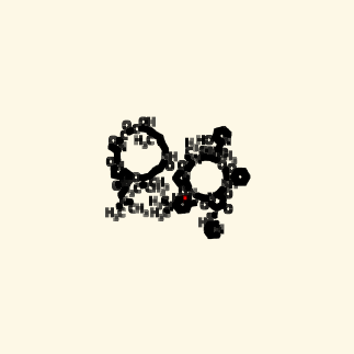 CCN(CC)CCS(=O)(=O)[C@@H]1CCN2C(=O)c3coc(n3)CC(=O)C[C@H](O)/C=C(C)/C=C/CNC(=O)/C=C/[C@@H](C)[C@@H](C(C)C)OC(=O)[C@@H]12.CC[C@H]1NC(=O)[C@@H](NC(=O)c2ncccc2O)[C@@H](C)OC(=O)[C@H](c2ccccc2)NC(=O)C2CC(=O)[C@H](CS[C@@H]3CN4CCC3CC4)CN2C(=O)[C@H](Cc2ccc(N(C)C)cc2)N(C)C(=O)[C@@H]2CCCN2C1=O